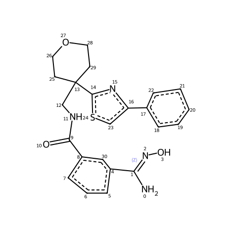 N/C(=N\O)c1cccc(C(=O)NCC2(c3nc(-c4ccccc4)cs3)CCOCC2)c1